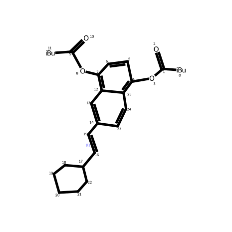 CCC(C)C(=O)Oc1ccc(OC(=O)C(C)CC)c2cc(/C=C/C3CCCCC3)ccc12